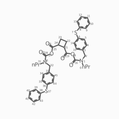 CCCN(Cc1ccc(Sc2ccccc2)cc1)C(=O)OC(=O)C1CCC1C(=O)OC(=O)N(CCC)Cc1ccc(Sc2ccccc2)cc1